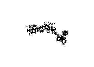 COc1cc(NCC(=O)NCCCc2cccc(C3(C(=O)OC4CN5CCC4CC5)CCCCC3)c2)c(Cl)cc1CNC[C@H](O)c1ccc(O)c2[nH]c(=O)ccc12